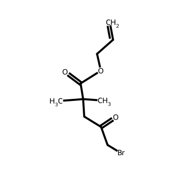 C=CCOC(=O)C(C)(C)CC(=O)CBr